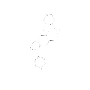 Fc1ccc(-n2ncc3c2C=C2CCNCC2(Cc2ccccc2)C3)cc1